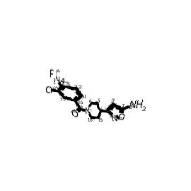 Nc1cc(C2CCN(C(=O)c3ccc(C(F)(F)F)c(Cl)c3)CC2)no1